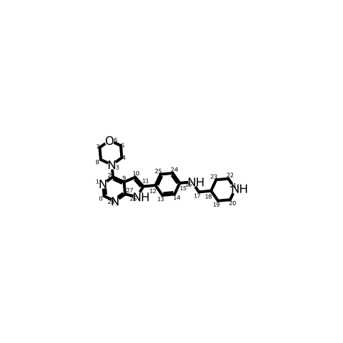 c1nc(N2CCOCC2)c2cc(-c3ccc(NCC4CCNCC4)cc3)[nH]c2n1